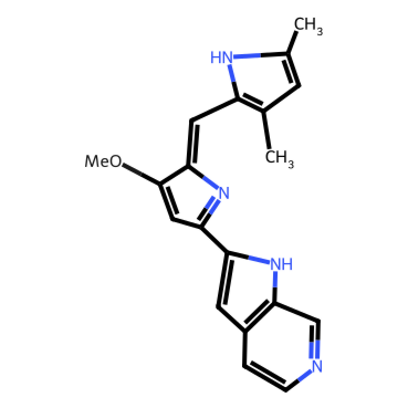 COC1=CC(c2cc3ccncc3[nH]2)=NC1=Cc1[nH]c(C)cc1C